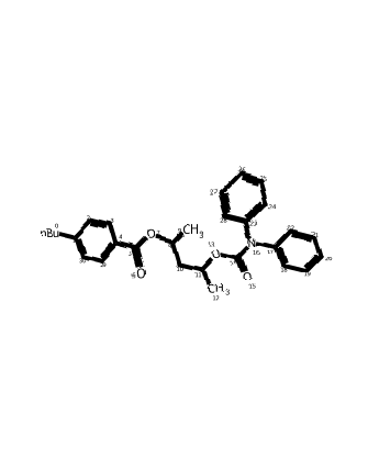 CCCCc1ccc(C(=O)OC(C)CC(C)OC(=O)N(c2ccccc2)c2ccccc2)cc1